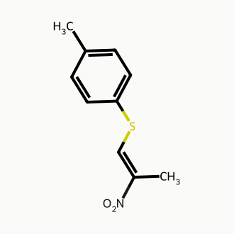 C/C(=C\Sc1ccc(C)cc1)[N+](=O)[O-]